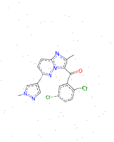 Cc1nc2ccc(-c3cnn(C)c3)nn2c1C(=O)c1cc(Cl)ccc1Cl